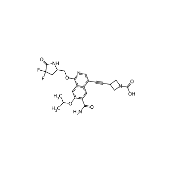 CC(C)Oc1cc2c(OCC3CC(F)(F)C(=O)N3)ncc(C#CC3CN(C(=O)O)C3)c2cc1C(N)=O